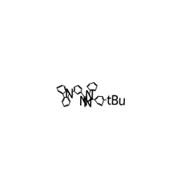 CC(C)(C)c1ccc(-c2nnc(-c3cccc(-n4c5ccccc5c5ccccc54)c3)n2-c2ccccc2)cc1